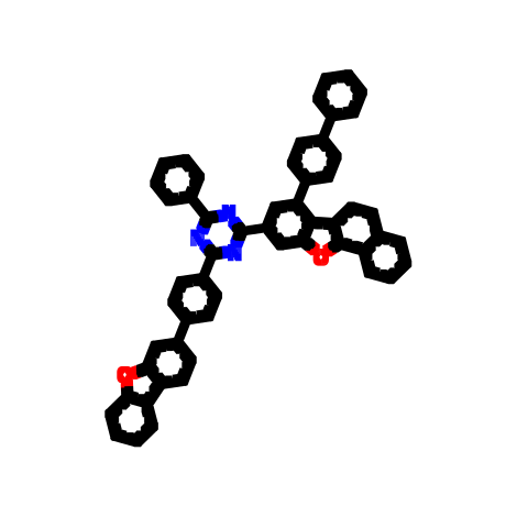 c1ccc(-c2ccc(-c3cc(-c4nc(-c5ccccc5)nc(-c5ccc(-c6ccc7c(c6)oc6ccccc67)cc5)n4)cc4oc5c6ccccc6ccc5c34)cc2)cc1